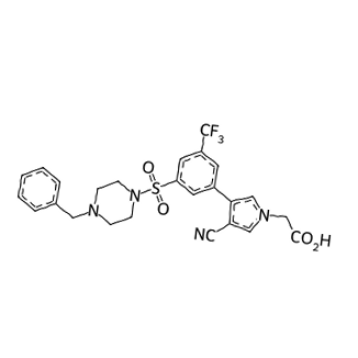 N#Cc1cn(CC(=O)O)cc1-c1cc(C(F)(F)F)cc(S(=O)(=O)N2CCN(Cc3ccccc3)CC2)c1